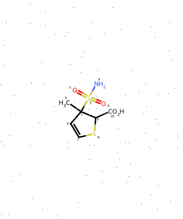 CC1(S(N)(=O)=O)C=CSC1C(=O)O